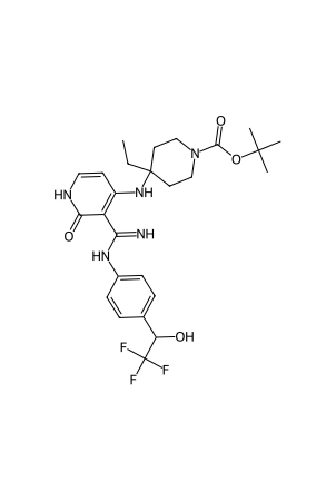 CCC1(Nc2cc[nH]c(=O)c2C(=N)Nc2ccc(C(O)C(F)(F)F)cc2)CCN(C(=O)OC(C)(C)C)CC1